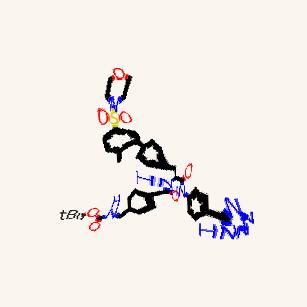 Cc1ccc(S(=O)(=O)N2CCOCC2)cc1-c1ccc(C[C@H](NC(=O)C2CCC(CNC(=O)OC(C)(C)C)CC2)C(=O)Nc2ccc(-c3nnn[nH]3)cc2)cc1